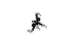 CCCCC1=C(c2cccc(CCCC)c2)[N+](=[N-])C(c2cccc(CCCC)c2)=C1C.[Pd]